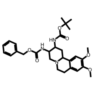 COc1cc2c(cc1OC)C1CC(NC(=O)OC(C)(C)C)C(NC(=O)OCc3ccccc3)CN1CC2